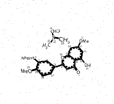 CCCCCc1cc(-c2cc(=O)c3c(O)cc(OC)cc3o2)ccc1OC.CN(C)C=O